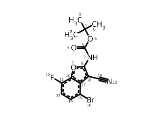 CC(C)(C)OC(=O)Nc1oc2c(F)ccc(Br)c2c1C#N